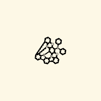 c1ccc(B(c2ccccc2)c2c3oc4cccc5c6ccc7c8c6n(c3c3c6c2oc2cccc9c%10ccc-7c(c%10n6c29)B38)c45)cc1